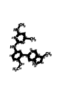 CNc1cc(C)nc(Nc2ccc(OC)c(-c3cc4[nH]cc(C)c4cn3)c2)n1